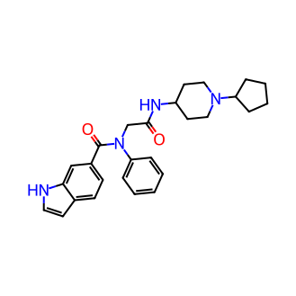 O=C(CN(C(=O)c1ccc2cc[nH]c2c1)c1ccccc1)NC1CCN(C2CCCC2)CC1